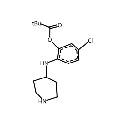 CC(C)(C)C(=O)Oc1cc(Cl)ccc1NC1CCNCC1